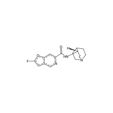 O=C(N[C@H]1CN2CCC1CC2)c1cc2oc(F)cc2cn1